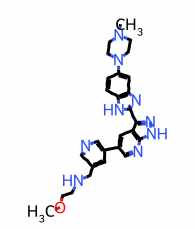 COCCNCc1cncc(-c2cnc3[nH]nc(-c4nc5cc(N6CCN(C)CC6)ccc5[nH]4)c3c2)c1